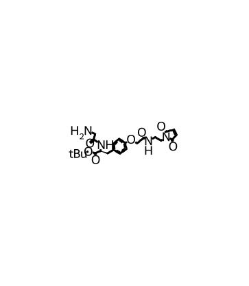 CC(C)(C)OC(=O)[C@H](Cc1ccc(OCC(=O)NCCN2C(=O)C=CC2=O)cc1)NC(=O)CN